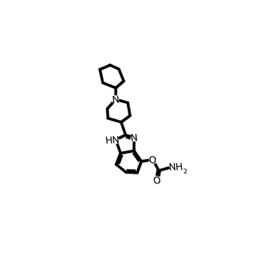 NC(=O)Oc1cccc2[nH]c(C3CCN(C4CCCCC4)CC3)nc12